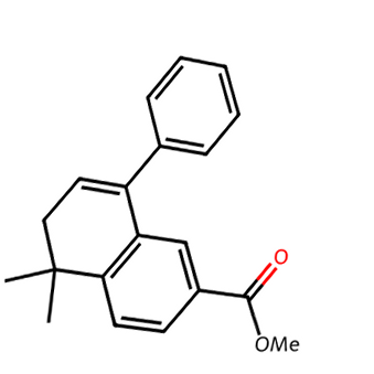 COC(=O)c1ccc2c(c1)C(c1ccccc1)=CCC2(C)C